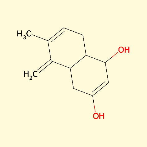 C=C1C(C)=CCC2C(O)C=C(O)CC12